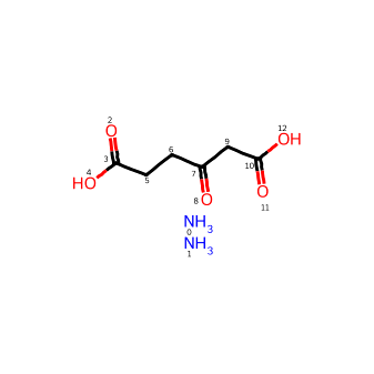 N.N.O=C(O)CCC(=O)CC(=O)O